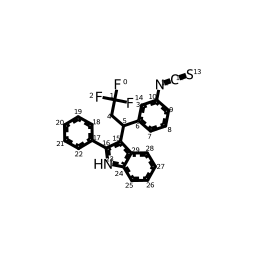 FC(F)(F)CC(c1cccc(N=C=S)c1)c1c(-c2ccccc2)[nH]c2ccccc12